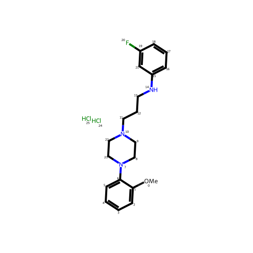 COc1ccccc1N1CCN(CCCNc2cccc(F)c2)CC1.Cl.Cl